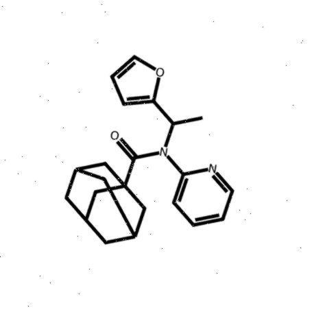 CC(c1ccco1)N(C(=O)C12CC3CC(CC(C3)C1)C2)c1ccccn1